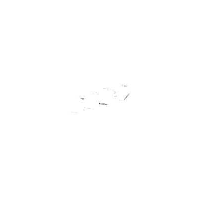 C[C@H](c1ccccc1)N1CC(=O)N([C@@H](C)C=O)CC1=O